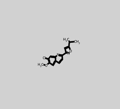 COc1cc2[c]cc(-c3cc(C(C)C)on3)nc2cc1Cl